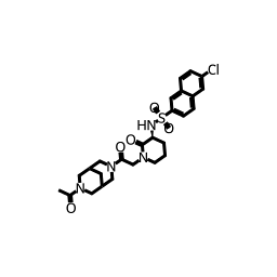 CC(=O)N1CC2CC(C1)CN(C(=O)CN1CCC[C@H](NS(=O)(=O)c3ccc4cc(Cl)ccc4c3)C1=O)C2